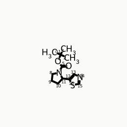 CC(C)(C)OC(=O)N1CCCC1c1cncs1